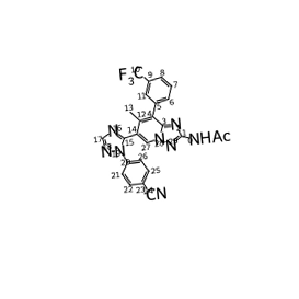 CC(=O)Nc1nc2c(-c3cccc(C(F)(F)F)c3)c(C)c(-c3ncnn3-c3ccc(C#N)cc3)cn2n1